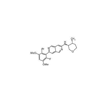 COc1cc(OC)c(C(C)C)c(-c2cc3cnc(N[C@@H]4COCC[C@@H]4C)cc3cn2)c1F